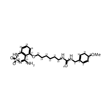 COC1C=CC(CNC(=O)NCCCCCCOc2cccc3c2C(N)=NS(=O)(=O)N3)=CC1